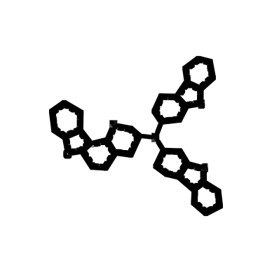 c1ccc2c(c1)oc1ccc3cc(N(c4ccc5c(c4)sc4ccccc45)c4ccc5c(c4)sc4ccccc45)cnc3c12